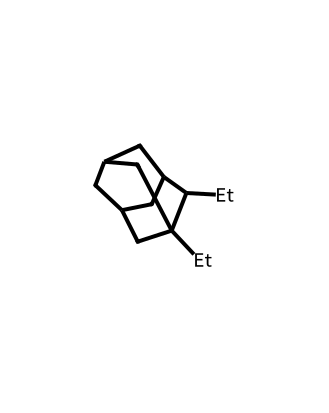 CCC1C2CC3CC(C2)CC1(CC)C3